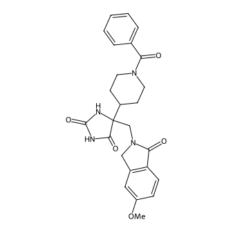 COc1ccc2c(c1)CN(CC1(C3CCN(C(=O)c4ccccc4)CC3)NC(=O)NC1=O)C2=O